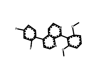 COc1cccc(OC)c1-c1nccc2c(-c3ccc(F)cc3F)ccnc12